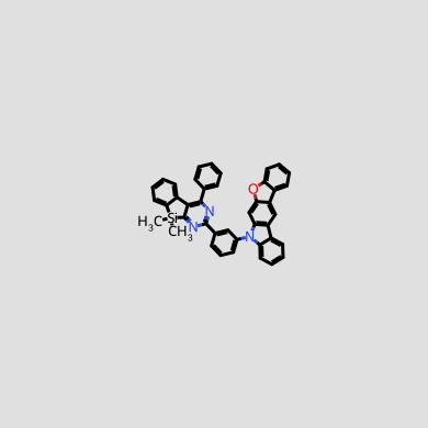 C[Si]1(C)c2ccccc2-c2c(-c3ccccc3)nc(-c3cccc(-n4c5ccccc5c5cc6c(cc54)oc4ccccc46)c3)nc21